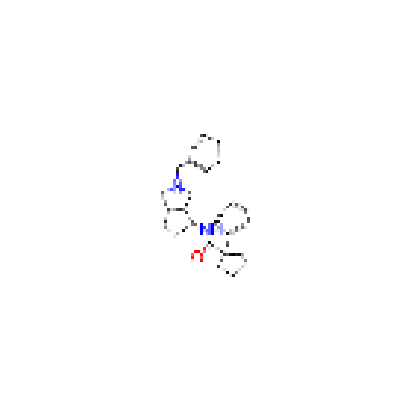 O=C(NC1CCC2CN(Cc3ccccc3)CC21)C1(c2ccccc2)CCCC1